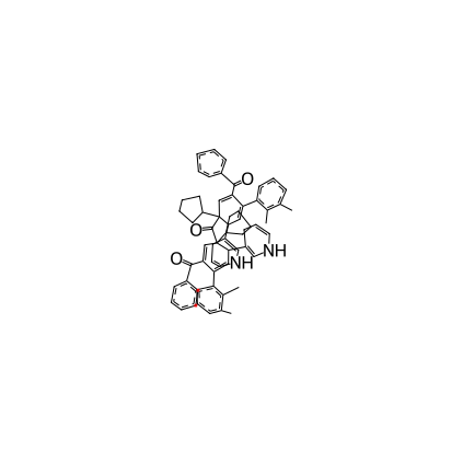 Cc1cccc(C2=CC(C3=CNC=CC3)C(C(=O)C3(C4CCCC4)C=C(C(=O)c4ccccc4)C(c4cccc(C)c4C)=CC3C3=CNC=CC3)(C3CCCC3)C=C2C(=O)c2ccccc2)c1C